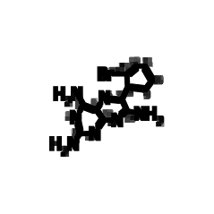 Nc1nc(N)c2nc(-c3ccccc3Br)c(N)nc2n1